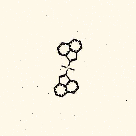 C[Si](C)(C1=Cc2cccc3cccc1c23)C1=Cc2cccc3cccc1c23